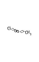 CCC[C@H]1CC[C@H](c2ccc(OC[C@H]3CC[C@H](CCl)CC3)cc2)CC1